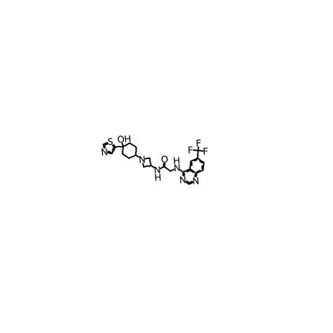 O=C(CNc1ncnc2ccc(C(F)(F)F)cc12)NC1CN(C2CCC(O)(c3cncs3)CC2)C1